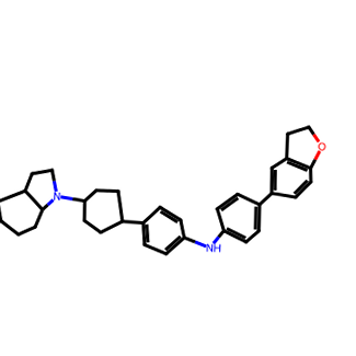 c1cc(-c2ccc3c(c2)CCO3)ccc1Nc1ccc(C2CCC(N3CCC4CCCCC43)CC2)cc1